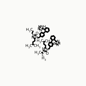 CC(C)CCc1nn(C(C)C)c(=O)n1Cc1ccc(-c2ccccc2-c2nnn[nH]2)cc1.CCCn1nc(CCC(C)C)n(Cc2ccc(-c3ccccc3-c3nnn[nH]3)cc2)c1=O